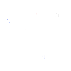 CCC(C#N)C(=O)OC#N